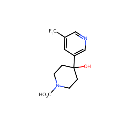 O=C(O)N1CCC(O)(c2cncc(C(F)(F)F)c2)CC1